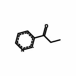 CCC(=O)c1[c]nccc1